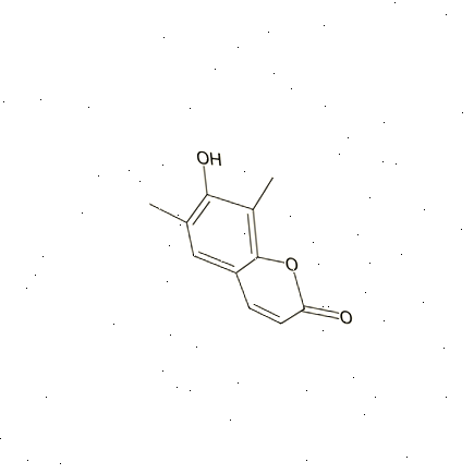 Cc1cc2ccc(=O)oc2c(C)c1O